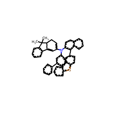 CC1(C)c2ccccc2C2=CC(N(c3cccc(-c4ccccc4)c3)c3ccc4ccccc4c3-c3ccc4sc5ccccc5c4c3)=CCC21